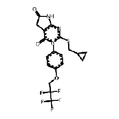 O=C1Cc2c(nc(SCC3CC3)n(-c3ccc(OCC(F)(F)C(F)(F)F)cc3)c2=O)N1